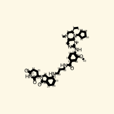 CC[C@@H]1CN(C)c2cnc(Nc3ccc(C(=O)NCCCNc4cccc5c4CN(C4CCC(=O)NC4=O)C5=O)cc3OC)nc2N1C1CCCC1